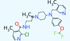 Cc1ccncc1CN(c1ccc(OC(F)F)cc1)C1CCN([C@H](C)CCNC(=O)c2c(C)ccnc2Cl)CC1